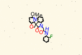 COc1ccc2c(n1)C1(CO2)C(=O)N(CC(=O)Nc2ccccc2F)c2ccccc21